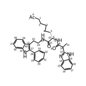 CC(=O)CCCCC[C@H](NC(=O)C(C)c1nc2ccccc2[nH]1)C(=O)NCCc1c(-c2ccccc2)[nH]c2ccccc12